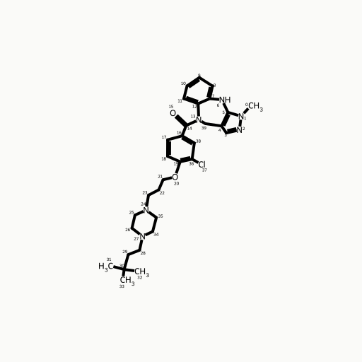 Cn1ncc2c1Nc1ccccc1N(C(=O)c1ccc(OCCCN3CCN(CCC(C)(C)C)CC3)c(Cl)c1)C2